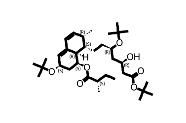 CC[C@H](C)C(=O)O[C@H]1C[C@H](OC(C)(C)C)C=C2C=C[C@H](C)[C@H](CC[C@H](C[C@@H](O)CC(=O)OC(C)(C)C)OC(C)(C)C)[C@H]21